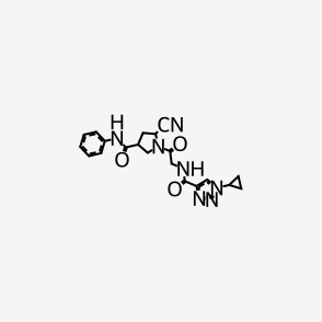 N#CC1CC(C(=O)Nc2ccccc2)CN1C(=O)CNC(=O)c1cn(C2CC2)nn1